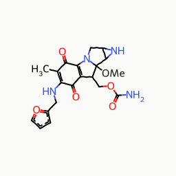 COC12C(COC(N)=O)C3=C(C(=O)C(C)=C(NCc4ccco4)C3=O)N1CC1NC12